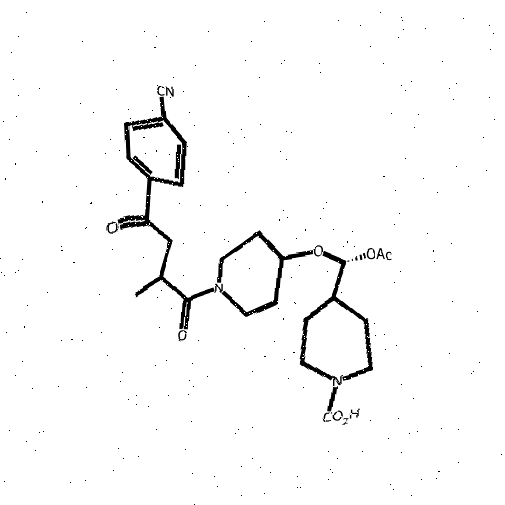 CC(=O)O[C@@H](OC1CCN(C(=O)C(C)CC(=O)c2ccc(C#N)cc2)CC1)C1CCN(C(=O)O)CC1